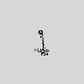 OC[C@H]1O[C@@H](OCCCCCCNCc2ccc(F)cc2)[C@H](O)[C@@H](O)[C@H]1O